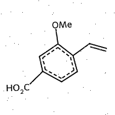 C=Cc1ccc(C(=O)O)cc1OC